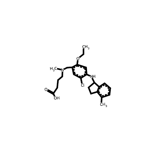 CCOc1cc(NC2CCc3c(C)cccc32)c(Cl)cc1CN(C)CCCC(=O)O